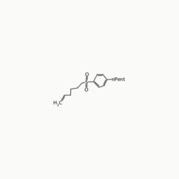 C=CCCCCS(=O)(=O)c1ccc(CCCCC)cc1